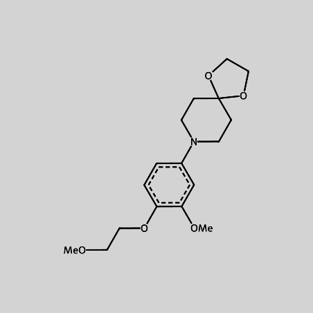 COCCOc1ccc(N2CCC3(CC2)OCCO3)cc1OC